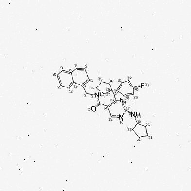 O=C(NCc1cccc2ccccc12)c1cnc(NC2CCCC2)nc1C1(c2ccc(F)cc2)CCCC1